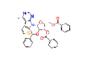 Cc1ncnc2c1c1ccsc1n2[C@@H]1O[C@H](COC(=O)c2ccccc2)[C@@H](OC(=O)c2ccccc2)[C@H]1OC(=O)c1ccccc1